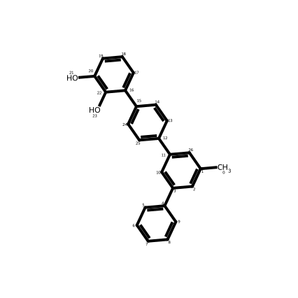 Cc1cc(-c2ccccc2)cc(-c2ccc(-c3cccc(O)c3O)cc2)c1